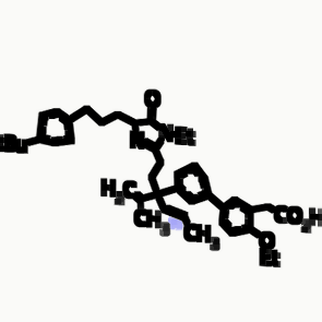 C=C(C)C(/C=C/C)(CCC1=NC(CCCc2ccc(C(C)(C)C)cc2)C(=O)N1CC)c1cccc(-c2ccc(OCC)c(CC(=O)O)c2)c1